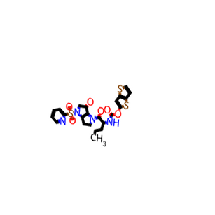 CCCC(NC(=O)Oc1cc2sccc2s1)C(=O)N1CCC2C1C(=O)CN2S(=O)(=O)c1ccccn1